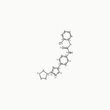 O=C(Cc1ccccc1Cl)Nc1ccc(-c2cnn(C3CCCC3)c2)cc1